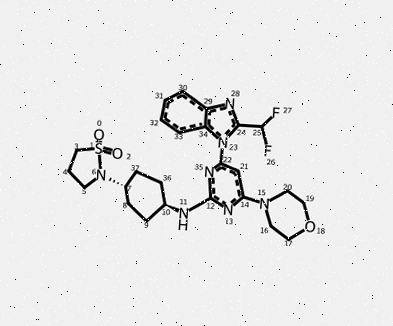 O=S1(=O)CCCN1[C@H]1CC[C@H](Nc2nc(N3CCOCC3)cc(-n3c(C(F)F)nc4ccccc43)n2)CC1